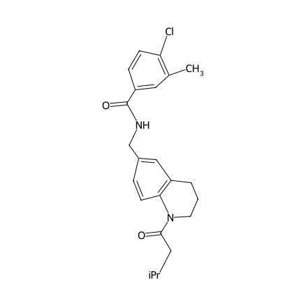 Cc1cc(C(=O)NCc2ccc3c(c2)CCCN3C(=O)CC(C)C)ccc1Cl